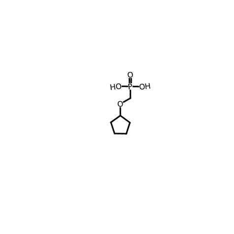 O=P(O)(O)COC1CCCC1